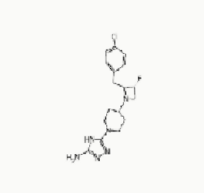 Nc1nnc(N2CCC(N3C[C@@H](F)C3Cc3ccc(Cl)cc3)CC2)[nH]1